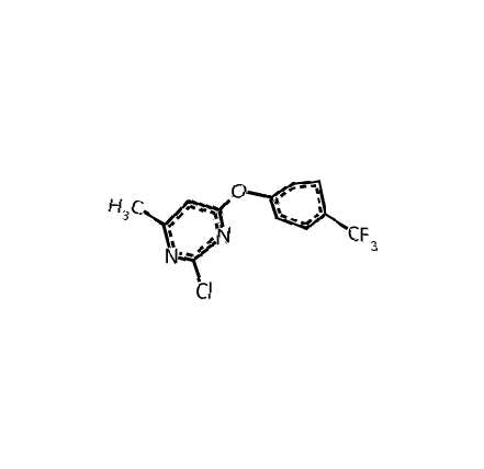 Cc1cc(Oc2ccc(C(F)(F)F)cc2)nc(Cl)n1